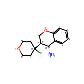 N[C@H]1c2ccccc2OC[C@@H]1C1(F)CCOCC1